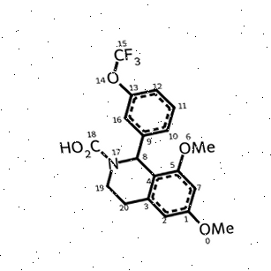 COc1cc2c(c(OC)c1)C(c1cccc(OC(F)(F)F)c1)N(C(=O)O)CC2